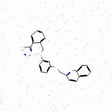 c1cc(NCc2ccccc2-c2nnn[nH]2)cc(OCc2ccc3ccccc3n2)c1